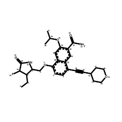 CCC1C(COc2ncc(C#CC3CCOCC3)c3cc(C(N)=O)c(OC(C)C)cc23)NC(=O)C1F